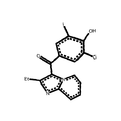 CCc1nc2ccccn2c1C(=O)c1cc(Cl)c(O)c(I)c1